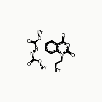 CC(C)CCn1c(=O)oc(=O)c2ccccc21.CC(C)OC(=O)N=NC(=O)OC(C)C